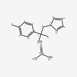 Cc1ccc(C(C)(O)Cn2cncn2)cc1.O=[N+]([O-])O